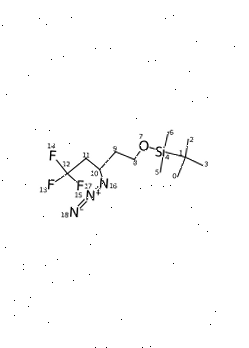 CC(C)(C)[Si](C)(C)OCCC(CC(F)(F)F)N=[N+]=[N-]